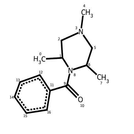 CC1CN(C)CC(C)N1C(=O)c1ccccc1